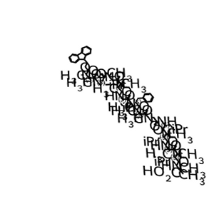 CC(C)C[C@H](NC(=O)[C@H](C)N(C)C(=O)OCC1c2ccccc2-c2ccccc21)C(=O)N(C)CC(=O)N(C)[C@@H](C)C(=O)N[C@@H](CC(C)C)C(=O)N(C)[C@@H](Cc1ccccc1)C(=O)N(C)[C@@H](C)C(=O)NCC(=O)N[C@@H](CC(C)C)C(=O)N(C)[C@@H](CC(C)C)C(=O)N[C@@H](C)C(=O)N(C)[C@@H](CC(C)C)C(=O)NC(C)(C)C(=O)O